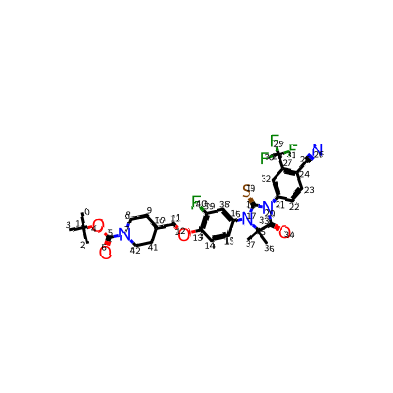 CC(C)(C)OC(=O)N1CCC(COc2ccc(N3C(=S)N(c4ccc(C#N)c(C(F)(F)F)c4)C(=O)C3(C)C)cc2F)CC1